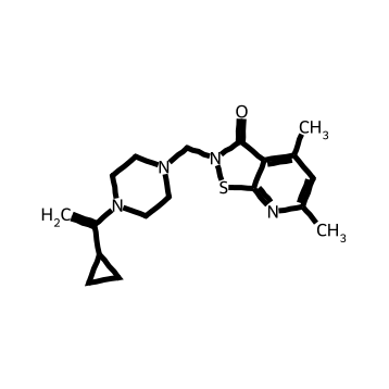 C=C(C1CC1)N1CCN(Cn2sc3nc(C)cc(C)c3c2=O)CC1